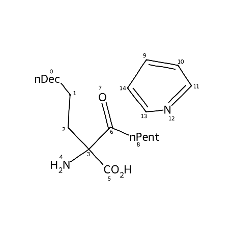 CCCCCCCCCCCCC(N)(C(=O)O)C(=O)CCCCC.c1ccncc1